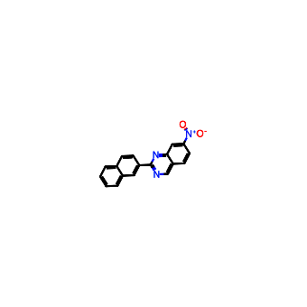 O=[N+]([O-])c1ccc2cnc(-c3ccc4ccccc4c3)nc2c1